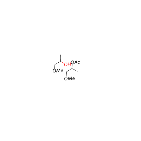 COCC(C)O.COCC(C)OC(C)=O